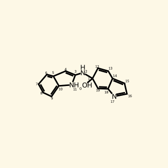 OC1(Nc2cc3ccccc3[nH]2)C=CC2=CC=NC2=C1